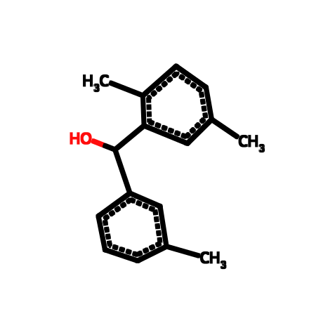 Cc1cccc(C(O)c2cc(C)ccc2C)c1